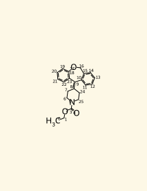 CCOC(=O)N1CCC(=C2c3ccccc3COc3ccccc32)CC1